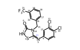 O=c1[nH]s/c(=N/c2ccc(Cl)c(Cl)c2)n1Cc1cccc(C(F)(F)F)c1